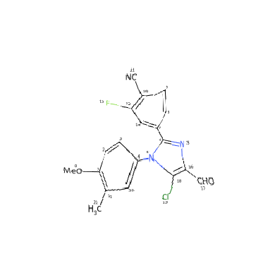 COc1ccc(-n2c(-c3ccc(C#N)c(F)c3)nc(C=O)c2Cl)cc1C